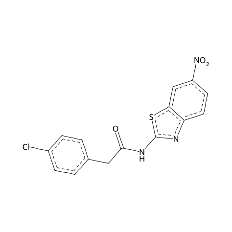 O=C(Cc1ccc(Cl)cc1)Nc1nc2ccc([N+](=O)[O-])cc2s1